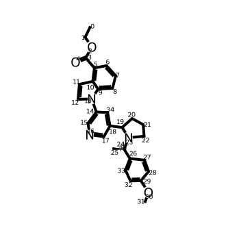 CCOC(=O)c1cccc2c1ccn2-c1cncc(C2CCCN2[C@H](C)c2ccc(OC)cc2)c1